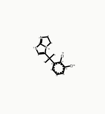 CC(C)(C1=CSC2=NCCN12)c1cccc(Cl)c1Cl